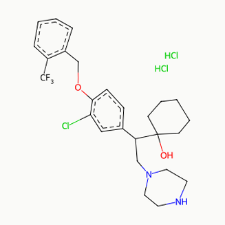 Cl.Cl.OC1(C(CN2CCNCC2)c2ccc(OCc3ccccc3C(F)(F)F)c(Cl)c2)CCCCC1